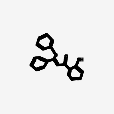 O=C(/C=C(\Oc1ccccc1)c1ccccc1)c1ccccc1O